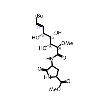 COC(=O)C1CC(NC(=O)[C@H](OC)[C@H](O)[C@@H](O)[C@H](O)/C=C/C(C)(C)C)C(=O)N1